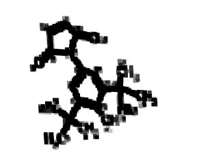 CCCCC(C)(C)c1cc(N2C(=O)C=CC2=O)cc(C(C)(C)CCCC)c1O